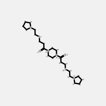 O=C(CCSCCN1CCCC1)N1CCN(C(=O)CCSCCN2CCCC2)CC1